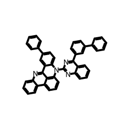 c1ccc(-c2cccc(-c3nc(N4c5ccc(-c6ccccc6)cc5-c5nc6ccccc6c6cccc4c56)nc4ccccc34)c2)cc1